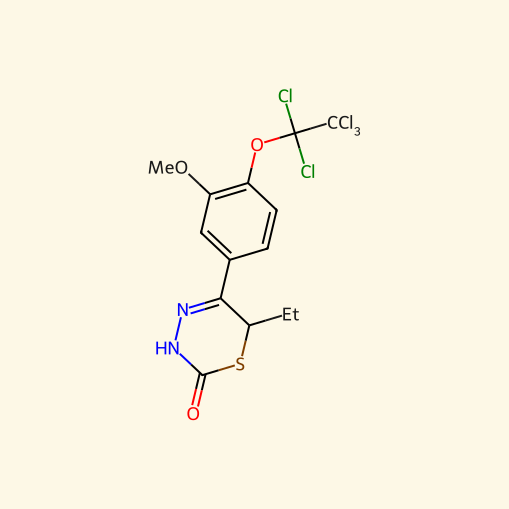 CCC1SC(=O)NN=C1c1ccc(OC(Cl)(Cl)C(Cl)(Cl)Cl)c(OC)c1